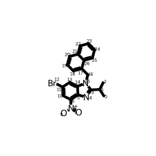 CC(C)c1nc2c([N+](=O)[O-])cc(Br)cc2n1Cc1cccc2ccccc12